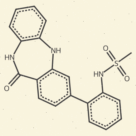 CS(=O)(=O)Nc1ccccc1-c1ccc2c(c1)Nc1ccccc1NC2=O